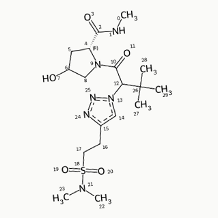 CNC(=O)[C@H]1CC(O)CN1C(=O)C(n1cc(CCS(=O)(=O)N(C)C)nn1)C(C)(C)C